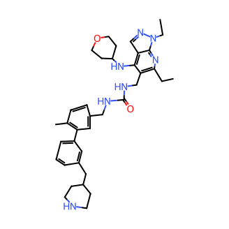 CCc1nc2c(cnn2CC)c(NC2CCOCC2)c1CNC(=O)NCc1ccc(C)c(-c2cccc(CC3CCNCC3)c2)c1